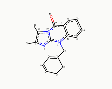 Cc1nc2n(CC3=CC=CCC3)c3ccccc3c(=O)n2c1C